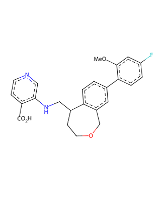 COc1cc(F)ccc1-c1ccc2c(c1)COCCC2CNc1cnccc1C(=O)O